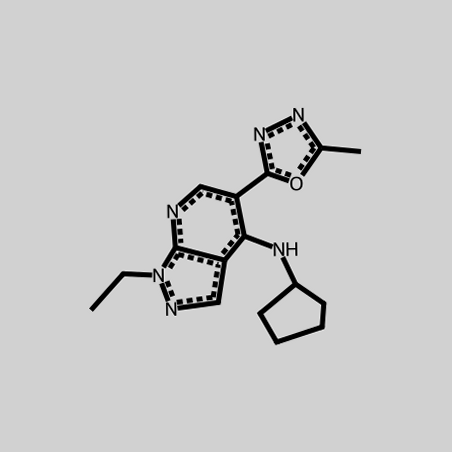 CCn1ncc2c(NC3CCCC3)c(-c3nnc(C)o3)cnc21